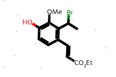 CCOC(=O)C=Cc1ccc(O)c(OC)c1C(C)Br